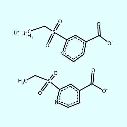 CCS(=O)(=O)c1cc(C(=O)[O-])ccn1.CCS(=O)(=O)c1cc(C(=O)[O-])ccn1.[Li+].[Li+]